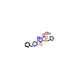 CC(C)(C)OC(=O)N[C@@H](CSCC1CCCC1)C(=O)NC1CCN(Cc2ccccc2)CC1